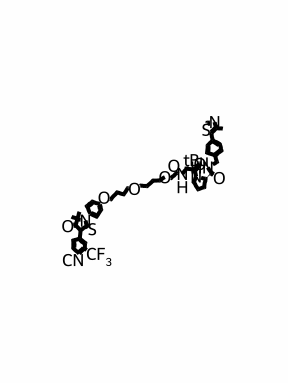 Cc1ncsc1-c1ccc(CNC(=O)[C@@H]2CCCN2C(=O)C(NC(=O)COCCCCOCCCCOc2ccc(N3C(=S)C(c4ccc(C#N)c(C(F)(F)F)c4)C(=O)C3(C)C)cc2)C(C)(C)C)cc1